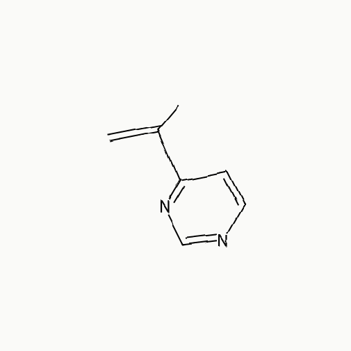 C=C(C)c1ccncn1